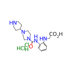 Cl.Cl.O=C(O)CNc1ccccc1NC(=O)N1CCN(C2CCNCC2)CC1